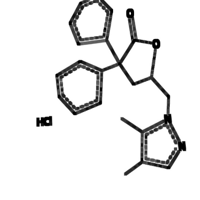 Cc1cnn(CC2CC(c3ccccc3)(c3ccccc3)C(=O)O2)c1C.Cl